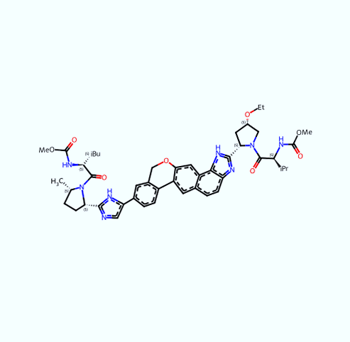 CCO[C@H]1C[C@@H](c2nc3ccc4cc5c(cc4c3[nH]2)OCc2cc(-c3cnc([C@@H]4CC[C@H](C)N4C(=O)[C@@H](NC(=O)OC)[C@@H](C)CC)[nH]3)ccc2-5)N(C(=O)[C@@H](NC(=O)OC)C(C)C)C1